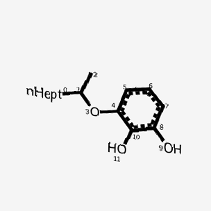 CCCCCCCC(C)Oc1cccc(O)c1O